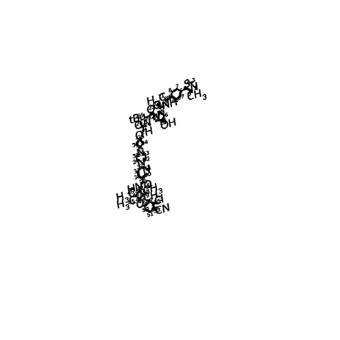 Cc1ncsc1-c1ccc([C@H](C)NC(=O)[C@@H]2C[C@@H](O)CN2C(=O)C(NC(=O)COC2CC(N3CCN(c4ccc(C(=O)NC5C(C)(C)C(Oc6ccc(C#N)c(Cl)c6)C5(C)C)cn4)CC3)C2)C(C)(C)C)cc1